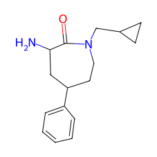 NC1CC(c2ccccc2)CCN(CC2CC2)C1=O